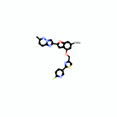 COc1cc(OCc2csc(-c3ccc(F)nc3)n2)c2cc(-c3cn4nc(C)ccc4n3)oc2c1